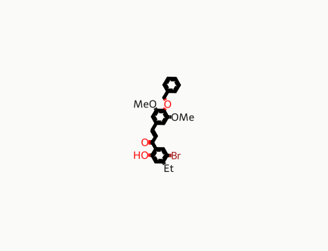 CCc1cc(O)c(C(=O)C=Cc2cc(OC)c(OCc3ccccc3)c(OC)c2)cc1Br